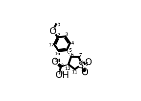 COc1ccc([C@@H]2CS(=O)(=O)C[C@H]2C(=O)O)cc1